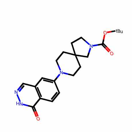 CC(C)(C)OC(=O)N1CCC2(CCN(c3ccc4c(=O)[nH]ncc4c3)CC2)C1